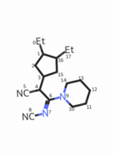 CCC1CC(C(C#N)C(=NC#N)N2CCCCC2)CC1CC